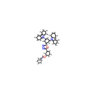 C1=CC2CC1C/C2=C/Oc1cccc(-c2nnc(-c3cc(-n4c5ccccc5c5ccccc54)cc(-n4c5ccccc5c5ccccc54)c3)o2)c1